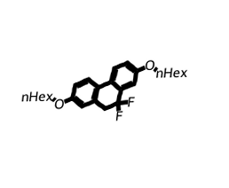 CCCCCCOc1ccc2c(c1)CC(F)(F)c1cc(OCCCCCC)ccc1-2